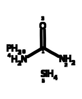 NC(N)=O.P.[SiH4]